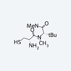 CNC(=O)[C@@H](N(C)C(=O)[C@H](N)CS)C(C)(C)C